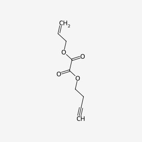 C#CCCOC(=O)C(=O)OCC=C